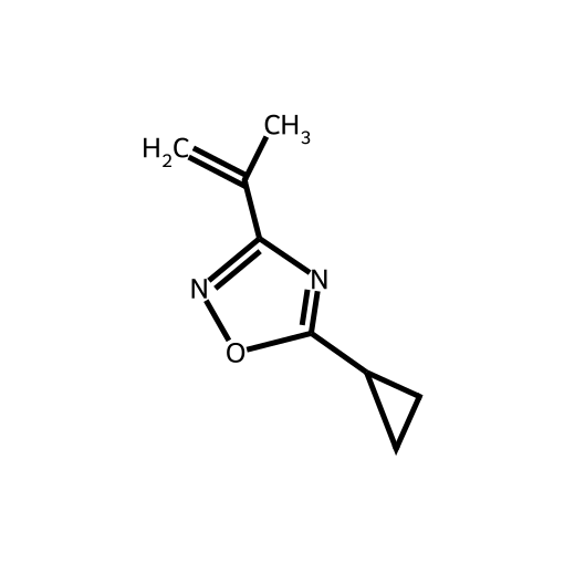 C=C(C)c1noc(C2CC2)n1